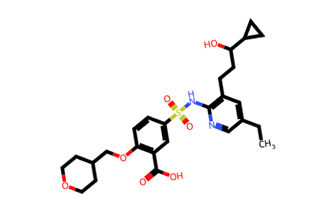 CCc1cnc(NS(=O)(=O)c2ccc(OCC3CCOCC3)c(C(=O)O)c2)c(CCC(O)C2CC2)c1